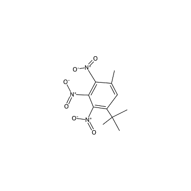 Cc1cc(C(C)(C)C)c([N+](=O)[O-])c([N+](=O)[O-])c1[N+](=O)[O-]